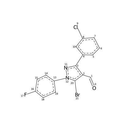 O=Cc1c(-c2cccc(Cl)c2)nn(-c2ccc(F)cc2)c1Br